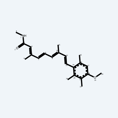 CNC(=O)C=C(C)C=CC=C(C)C=Cc1c(C)cc(OC)c(C)c1C